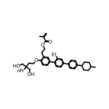 C=C(C)C(=O)OCCc1cc(-c2ccc(-c3ccc(C4CCC(C)CC4)cc3)cc2CC)ccc1OCCC(CO)(CO)CCC